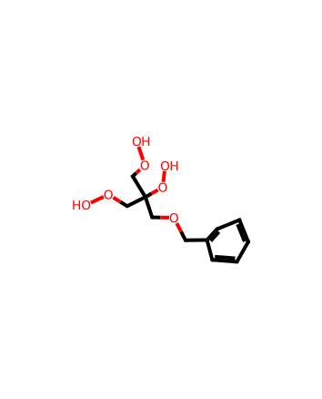 OOCC(COO)(COCc1ccccc1)OO